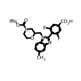 Cc1ccc2c(c1)nc(-c1c(F)cc(C(=O)O)cc1F)n2CC1CN(C(=O)OC(C)(C)C)CCO1